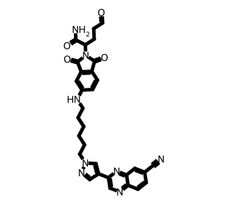 N#Cc1ccc2ncc(-c3cnn(CCCCCCNc4ccc5c(c4)C(=O)N(C(CCC=O)C(N)=O)C5=O)c3)nc2c1